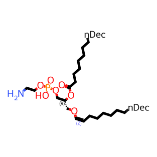 CCCCCCCCCCCCCCCC/C=C\OC[C@H](COP(=O)(O)OCCN)OC(=O)CCCCCCCCCCCCCCCCC